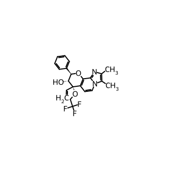 C=C[C@]1(OCC(F)(F)F)c2ccn3c(C)c(C)nc3c2O[C@H](c2ccccc2)[C@H]1O